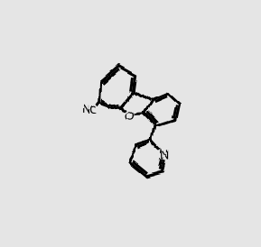 N#Cc1cccc2c1oc1c(-c3ccccn3)cccc12